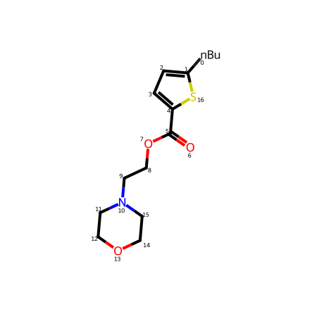 CCCCc1ccc(C(=O)OCCN2CCOCC2)s1